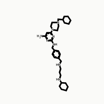 Nc1cc(N2CCN(CC3CCCCC3)CC2)nc(NCc2ccc(CNCCCNC3CCCCC3)cc2)n1